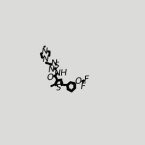 Cc1sc(-c2cccc(OC(F)F)c2)cc1C(=O)Nc1nc(CN2CCN(C)CC2)ns1